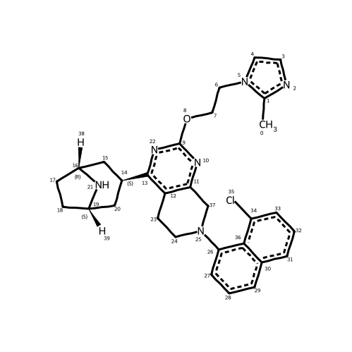 Cc1nccn1CCOc1nc2c(c([C@@H]3C[C@H]4CC[C@@H](C3)N4)n1)CCN(c1cccc3cccc(Cl)c13)C2